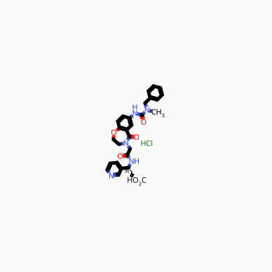 CN(Cc1ccccc1)C(=O)Nc1ccc2c(c1)C(=O)N(CC(=O)N[C@H](CC(=O)O)c1cccnc1)CCO2.Cl